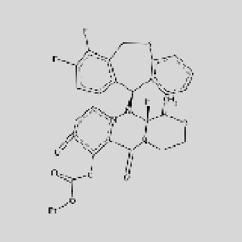 C=C1OCCN2C(=O)c3c(OC(=O)OC(C)C)c(=O)ccn3N([C@@H]3c4ccccc4SCc4c3ccc(F)c4F)[C@H]12